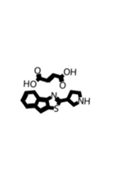 C1=CCC2=c3nc(C4CCNC4)sc3=CC2=C1.O=C(O)C=CC(=O)O